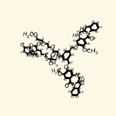 COCCOCCOCCN(CC(C)(C)SSCCC(C(=O)ON1C(=O)CCC1O)S(=O)(=O)O)c1cc(COc2cc3c(cc2OC)C(=O)N2c4ccccc4C[C@H]2C=N3)cc(COc2cc3c(cc2OC)C(=O)N2c4ccccc4C[C@H]2CN3)c1